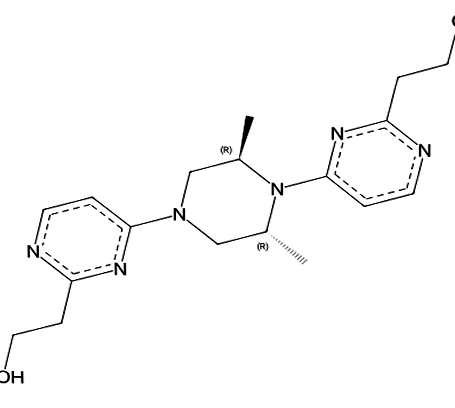 C[C@@H]1CN(c2ccnc(CCO)n2)C[C@@H](C)N1c1ccnc(CCO)n1